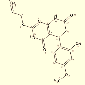 C=CCSc1nc2c(c(=O)[nH]1)C(c1ccc(OC)cc1O)CC(=O)N2